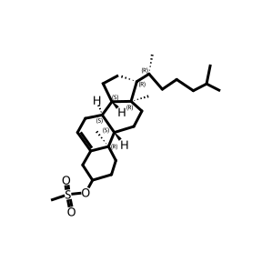 CC(C)CCC[C@@H](C)[C@H]1CC[C@H]2[C@@H]3CC=C4CC(OS(C)(=O)=O)CC[C@]4(C)[C@H]3CC[C@]12C